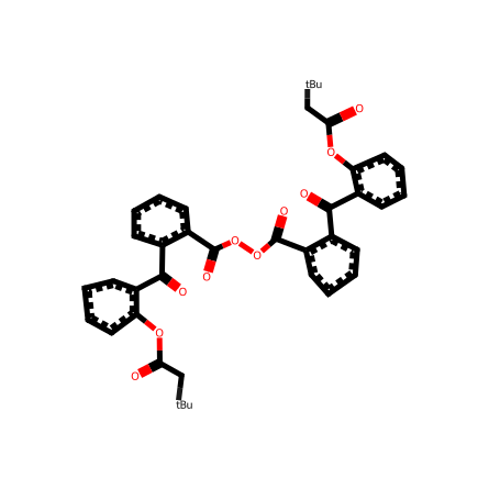 CC(C)(C)CC(=O)Oc1ccccc1C(=O)c1ccccc1C(=O)OOC(=O)c1ccccc1C(=O)c1ccccc1OC(=O)CC(C)(C)C